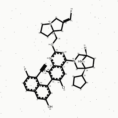 C#Cc1c(F)ccc2cc(O)cc(-c3c(Cl)cc4c(N5C[C@@H]6CC[C@](C7CCCC7)(C5)N6)nc(OC[C@@]56CCCN5C/C(=C\F)C6)nc4c3F)c12